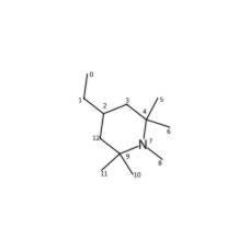 CCC1CC(C)(C)N(C)C(C)(C)C1